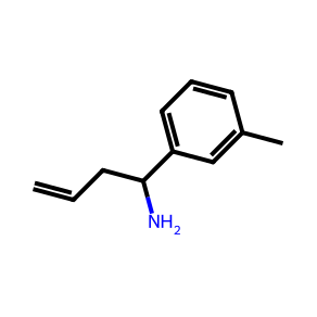 C=CCC(N)c1cccc(C)c1